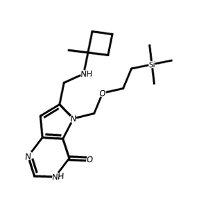 CC1(NCc2cc3nc[nH]c(=O)c3n2COCC[Si](C)(C)C)CCC1